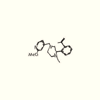 C=C(C)c1ccccc1C1CN(Cc2ccnc(OC)c2)CCN1C